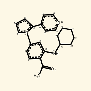 NC(=O)c1ccc(-n2cccc2-c2ccncc2)cc1NC1CCCCC1